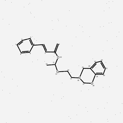 C=C(/C=C/c1ccccc1)OC(C)OCCN1COc2ccccc2C1